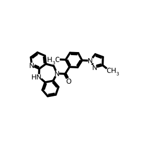 Cc1ccn(-c2ccc(C)c(C(=O)N3Cc4cccnc4Nc4ccccc43)c2)n1